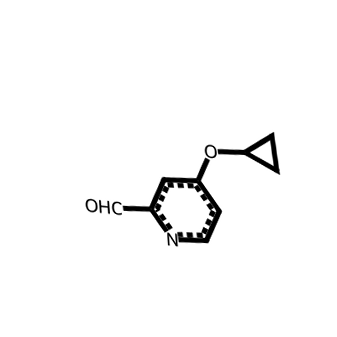 O=Cc1cc(OC2CC2)ccn1